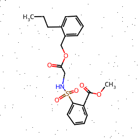 CCCc1ccccc1COC(=O)CNS(=O)(=O)c1ccccc1C(=O)OC